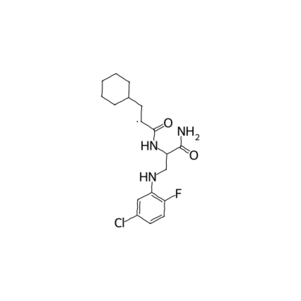 NC(=O)C(CNc1cc(Cl)ccc1F)NC(=O)[CH]CC1CCCCC1